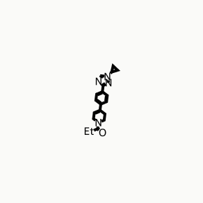 CCC(=O)N1CC=C(c2ccc(-c3ncn(C4CC4)n3)cc2)CC1